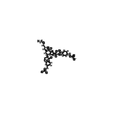 CCN(C(=O)c1ccc(CO[N+](=O)[O-])cc1)[C@H]1CN(CCCOC)S(=O)(=O)c2sc(S(=O)(=O)NC(=O)c3ccc(CO[N+](=O)[O-])cc3)cc21